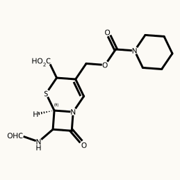 O=CNC1C(=O)N2C=C(COC(=O)N3CCCCC3)C(C(=O)O)S[C@H]12